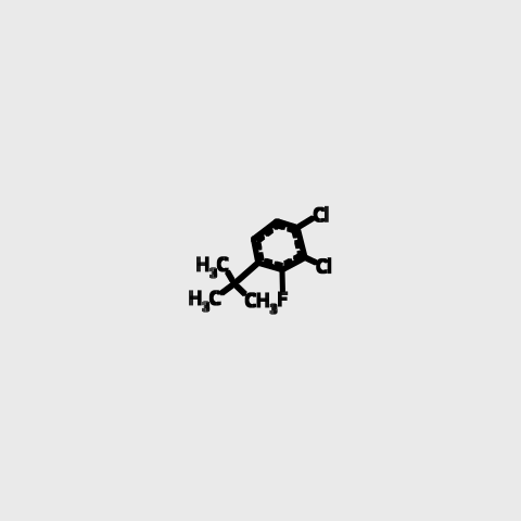 CC(C)(C)c1ccc(Cl)c(Cl)c1F